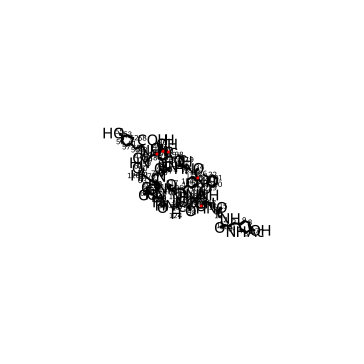 CC(=O)N[C@@H](Cc1ccc(O)cc1)C(=O)NCC(=O)NCC(=O)N[C@@H]1C(=O)N[C@@H](Cc2ccccc2)C(=O)N[C@H]2CCCCNC(=O)C[C@@H](C(=O)N[C@@H](Cc3ccc(O)cc3)C(=O)O)NC(=O)[C@H]3CCC(=O)OC[C@H](NC(=O)[C@@H]4CCCN4C(=O)[C@H](Cc4ccc(O)cc4)NC2=O)C(=O)N[C@@H](CC(=O)O[C@H]1C)C(=O)N[C@@H](Cc1c[nH]c2ccccc12)C(=O)N3